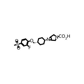 CS(=O)(=O)c1ccc(OC[C@H]2CC[C@H](N3C4CN(C(=O)O)CC43)CC2)c(F)c1